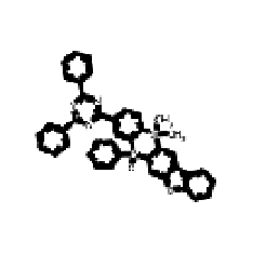 C[Si]1(C)c2ccc(-c3nc(-c4ccccc4)nc(-c4ccccc4)n3)cc2P(=O)(c2ccccc2)c2cc3oc4ccccc4c3cc21